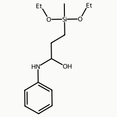 CCO[Si](C)(CCC(O)Nc1ccccc1)OCC